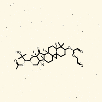 CC(=O)O[C@@H]([C@H]1C[C@@H](C)[C@H]2[C@H](O1)C(=O)[C@@]1(C)[C@@H]3CC[C@H]4C(C)(C)C(O[C@@H](C=O)OCC=O)CCC45C[C@@]35CC[C@]21C)C(C)(C)O